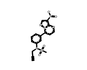 C#CCN(c1cccc(-c2ccnc3c([N+](=O)[O-])cnn23)c1)S(C)(=O)=O